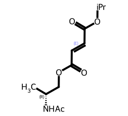 CC(=O)N[C@H](C)COC(=O)/C=C/C(=O)OC(C)C